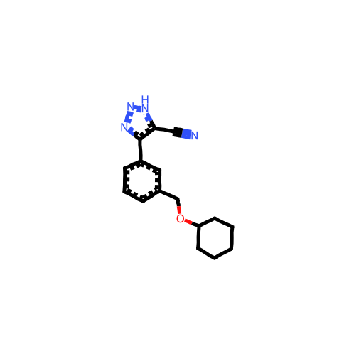 N#Cc1[nH]nnc1-c1cccc(COC2CCCCC2)c1